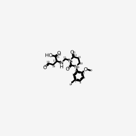 COc1ccc(I)cc1N1CCC(=O)N(CNC(CC=O)C(=O)O)C1=O